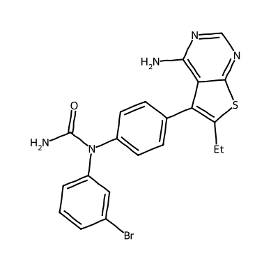 CCc1sc2ncnc(N)c2c1-c1ccc(N(C(N)=O)c2cccc(Br)c2)cc1